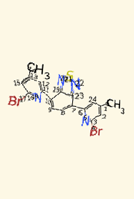 Cc1cc(Br)nc(-c2ccc(-c3cc(C)cc(Br)n3)c3nsnc23)c1